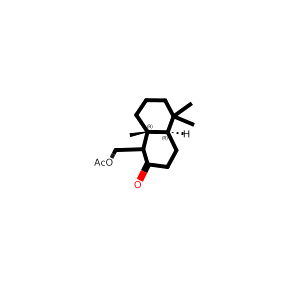 CC(=O)OCC1C(=O)CC[C@@H]2C(C)(C)CCC[C@@]12C